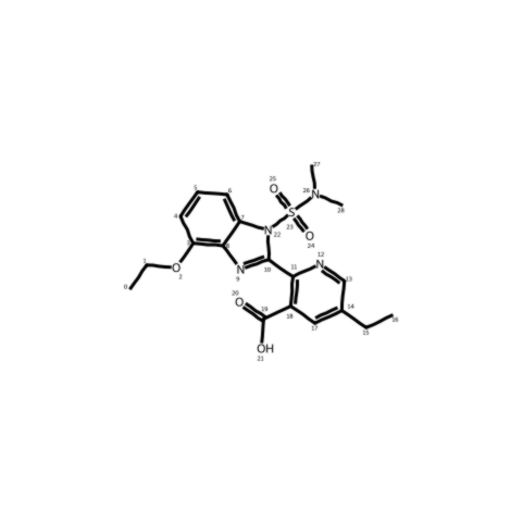 CCOc1cccc2c1nc(-c1ncc(CC)cc1C(=O)O)n2S(=O)(=O)N(C)C